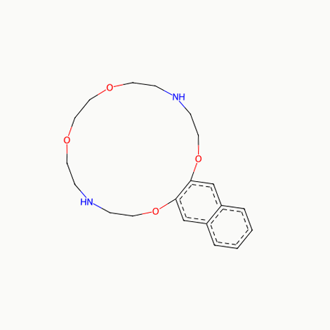 c1ccc2cc3c(cc2c1)OCCNCCOCCOCCNCCO3